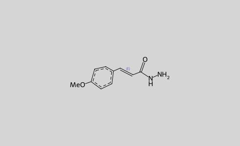 COc1ccc(/C=C/C(=O)NN)cc1